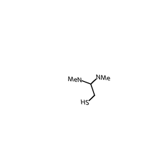 CNC(CS)NC